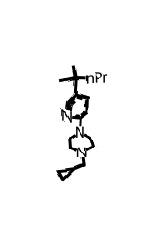 CCCC(C)(C)c1ccc(N2CCN(CC3CC3)CC2)nc1